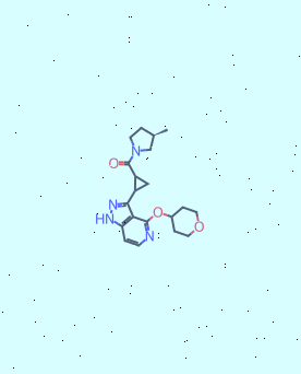 C[C@@H]1CCN(C(=O)C2CC2c2n[nH]c3ccnc(OC4CCOCC4)c23)C1